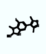 Cc1noc(C)c1-c1cc(I)c2c(c1)NC(O)N2C